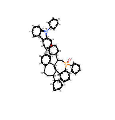 O=P1(c2ccccc2)CC(c2ccccc2)C2=C(c3ccccc31)C(c1ccccc1)CCc1ccc(-c3ccc4c(c3)c3ccccc3n4-c3ccccc3)cc12